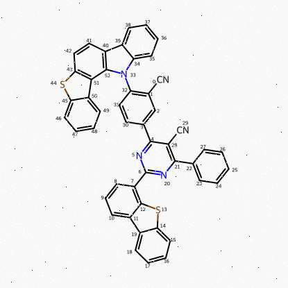 N#Cc1cc(-c2nc(-c3cccc4c3sc3ccccc34)nc(-c3ccccc3)c2C#N)ccc1-n1c2ccccc2c2ccc3sc4ccccc4c3c21